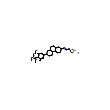 CC/C=C/C1CCC2C(CCC3CC(c4cc(F)c(C(F)(F)F)c(F)c4)CCC32)C1